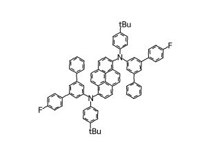 CC(C)(C)c1ccc(N(c2cc(-c3ccccc3)cc(-c3ccc(F)cc3)c2)c2ccc3ccc4c(N(c5ccc(C(C)(C)C)cc5)c5cc(-c6ccccc6)cc(-c6ccc(F)cc6)c5)ccc5ccc2c3c54)cc1